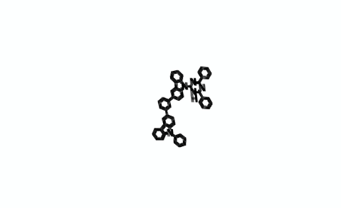 c1ccc(C2=NC(n3c4ccccc4c4cc(-c5cccc(-c6ccc7c(c6)c6ccccc6n7-c6ccccc6)c5)ccc43)NC(c3ccccc3)=N2)cc1